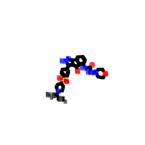 CC(C)N1CCC(S(=O)(=O)c2ccc(-c3[nH]nc4c3C(=O)c3c(NC(=O)NN5CCOCC5)cccc3-4)cc2)CC1